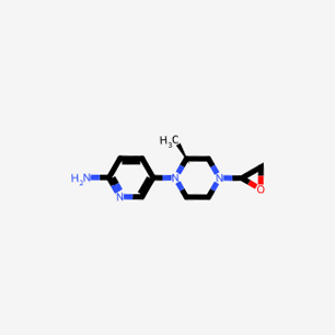 C[C@H]1CN(C2CO2)CCN1c1ccc(N)nc1